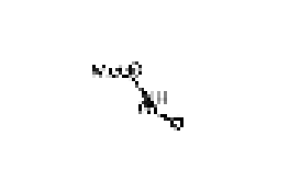 COC(=O)CCCCCNC(=O)C=CC#Cc1ccccc1